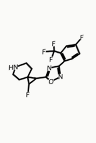 Fc1ccc(-c2noc(C3C(F)C34CCNCC4)n2)c(C(F)(F)F)c1